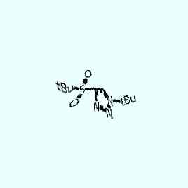 CC(C)(C)n1cc(S(=O)(=O)C(C)(C)C)nn1